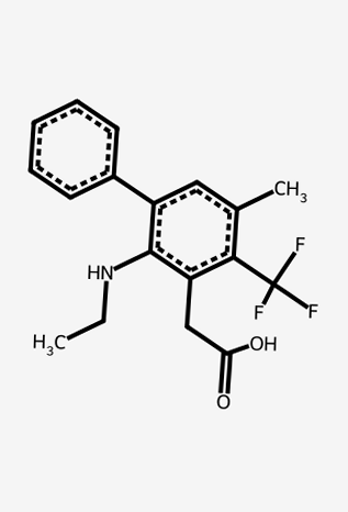 CCNc1c(-c2ccccc2)cc(C)c(C(F)(F)F)c1CC(=O)O